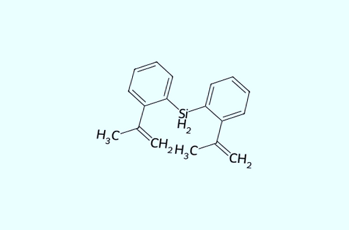 C=C(C)c1ccccc1[SiH2]c1ccccc1C(=C)C